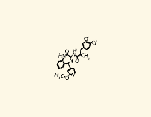 COc1cc(C2=NC(NC(=O)[C@@H](C)Cc3ccc(Cl)c(Cl)c3)C(=O)Nc3ccccc32)ccn1